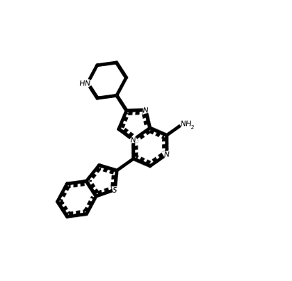 Nc1ncc(-c2cc3ccccc3s2)n2cc(C3CCCNC3)nc12